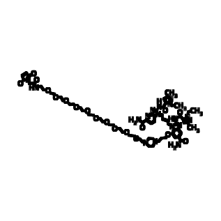 CCn1nc(C)cc1C(=O)Nc1nc2nc(C(N)=O)ccc2n1C/C=C/Cn1c(NC(=O)c2cc(C)nn2CC)nc2cc(C(N)=O)cc(OCCCN3CCN(CCOCCOCCOCCOCCOCCOCCOCCOCCOCCOCCNC(=O)CN4C(=O)C=CC4=O)CC3)c21